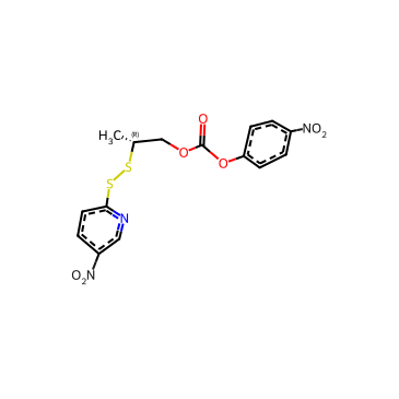 C[C@H](COC(=O)Oc1ccc([N+](=O)[O-])cc1)SSc1ccc([N+](=O)[O-])cn1